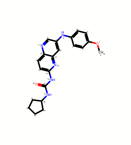 COc1ccc(Nc2cnc3ccc(NC(=O)NC4CCCC4)nc3c2)cc1